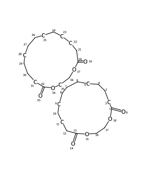 O=C1CCCCCCCCCCCC(=O)OCCO1.O=C1CCCCCCCCCCCC(=O)OCCO1